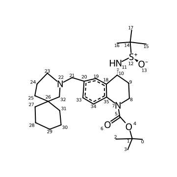 CC(C)(C)OC(=O)N1CC[C@@H](N[S@+]([O-])C(C)(C)C)c2cc(CN3CCCC4(CCCCC4)C3)ccc21